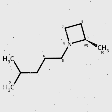 CC(C)CCCN1CC[C@H]1C